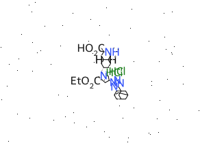 CCOC(=O)[C@@H]1C[C@H](n2nnc(C34CC5CC(CC(C5)C3)C4)n2)CN1C[C@H]1CC[C@H]2CN[C@H](C(=O)O)C[C@H]2C1.Cl.Cl